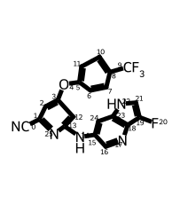 N#Cc1cc(Oc2ccc(C(F)(F)F)cc2)cc(Nc2cnc3c(F)c[nH]c3c2)n1